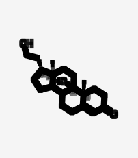 C[C@]12CC[C@@]3(O)C(CCC4=CC(=O)CC[C@@]43C)C1CC[C@@H]2CCO